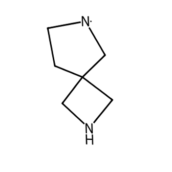 C1CC2(C[N]1)CNC2